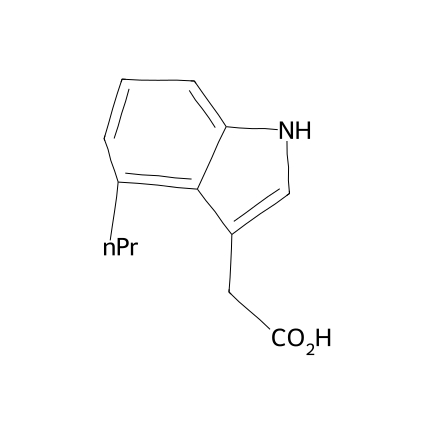 CCCc1cccc2[nH]cc(CC(=O)O)c12